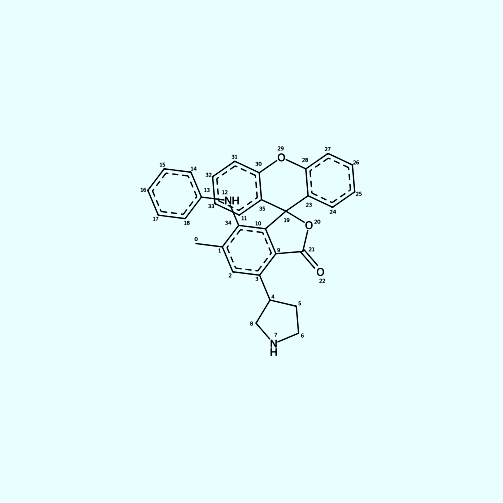 Cc1cc(C2CCNC2)c2c(c1Nc1ccccc1)C1(OC2=O)c2ccccc2Oc2ccccc21